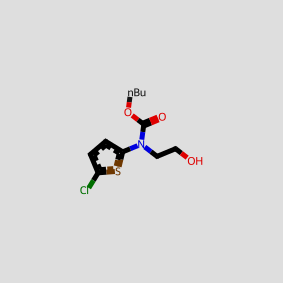 CCCCOC(=O)N(CCO)c1ccc(Cl)s1